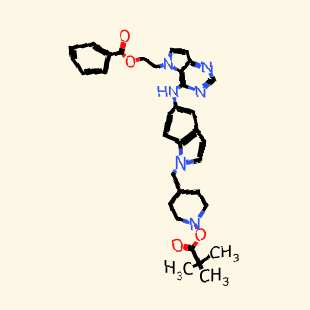 CC(C)(C)C(=O)ON1CCC(Cn2ccc3cc(Nc4ncnc5ccn(CCOC(=O)c6ccccc6)c45)ccc32)CC1